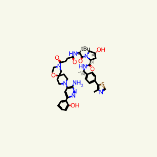 Cc1ncsc1-c1ccc([C@H](C)NC(=O)[C@@H]2C[C@@H](O)CN2C(=O)[C@@H](NC(=O)CCC(=O)N2CCOC3(CCN(c4cc(-c5ccccc5O)nnc4N)CC3)C2)C(C)(C)C)cc1